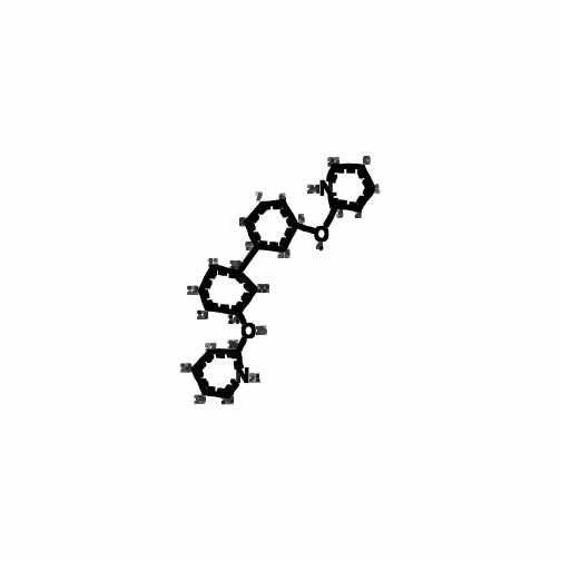 c1ccc(Oc2cccc(-c3cccc(Oc4ccccn4)c3)c2)nc1